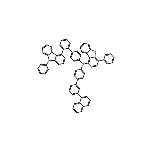 c1ccc(-c2ccc(N(c3ccc(-c4cccc(-c5cccc6ccccc56)c4)cc3)c3ccc(-c4ccccc4-c4cccc5c4c4ccccc4n5-c4ccccc4)cc3)c3c2sc2ccccc23)cc1